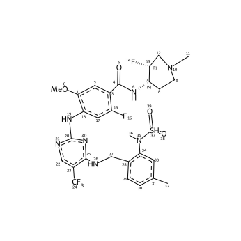 COc1cc(C(=O)N[C@H]2CCN(C)C[C@H]2F)c(F)cc1Nc1ncc(C(F)(F)F)c(NCc2ccc(C)cc2N(C)[SH](=O)=O)n1